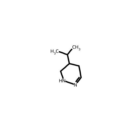 CC(C)C1CC=NNC1